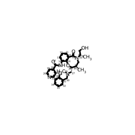 C[C@@H]1CN([C@@H](C)CO)C(=O)c2cccc(NC(=O)c3ccncc3)c2O[C@H]1CN(C)Cc1ccccc1Cl